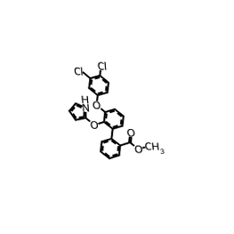 COC(=O)c1ccccc1-c1cccc(Oc2ccc(Cl)c(Cl)c2)c1Oc1ccc[nH]1